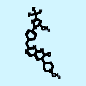 Cc1cc(C(F)(F)F)nn1-c1ccc(Cc2ncc3c(n2)=NC(=O)C(C2CCN(C)CC2)C=3)cc1